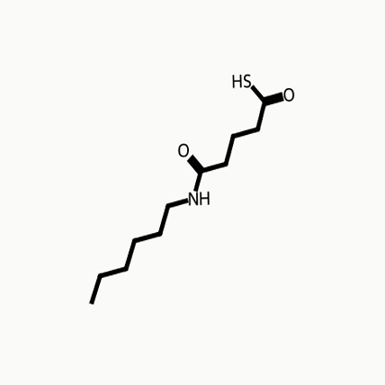 CCCCCCNC(=O)CCCC(=O)S